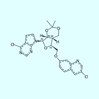 CC1(C)OC[C@H]2[C@@H](O1)[C@H](n1ccc3c(Cl)ncnc31)O[C@@H]2COc1ccc2cc(Cl)cnc2c1